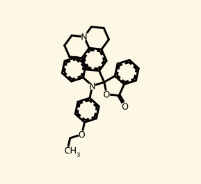 CCOc1ccc(N(c2ccccc2)C2(c3cc4c5c(c3)CCCN5CCC4)OC(=O)c3ccccc32)cc1